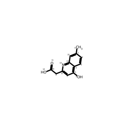 Cc1ccc2c(O)cc(CC(=O)O)nc2c1